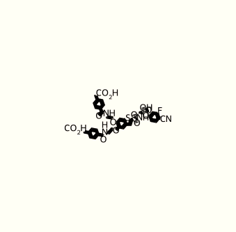 N#Cc1ccc(OP(=O)(O)CNS(=O)(=O)c2cc3cc(OCCNC(=O)c4ccc(CC(=O)O)cc4)c(OCCNC(=O)c4ccc(CC(=O)O)cc4)cc3s2)cc1F